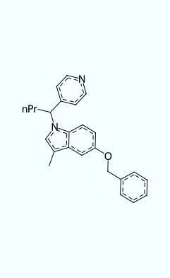 CCCC(c1ccncc1)n1cc(C)c2cc(OCc3ccccc3)ccc21